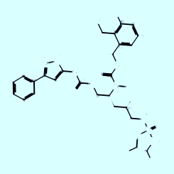 CCOP(=O)(OCC)OC[C@H](O)C[C@@H](COC(=O)Nc1cc(-c2ccccc2)no1)N(C)C(=O)NCc1cccc(F)c1CI